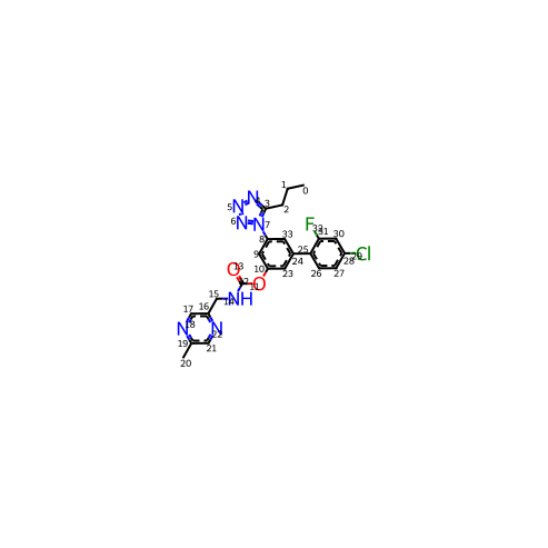 CCCc1nnnn1-c1cc(OC(=O)NCc2cnc(C)cn2)cc(-c2ccc(Cl)cc2F)c1